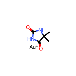 CC1(C)NC(=O)NC1=O.[Au+]